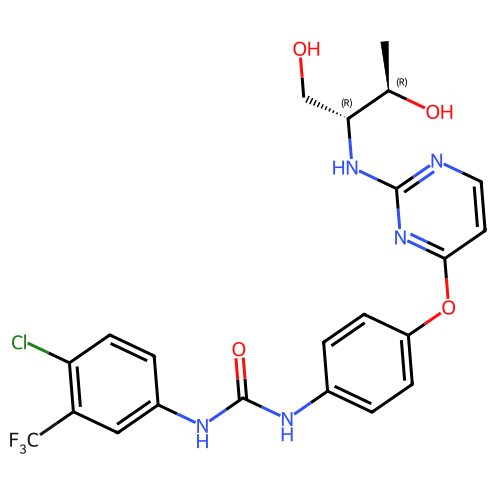 C[C@@H](O)[C@@H](CO)Nc1nccc(Oc2ccc(NC(=O)Nc3ccc(Cl)c(C(F)(F)F)c3)cc2)n1